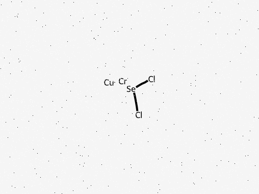 Cl[Se]Cl.[Cr].[Cu]